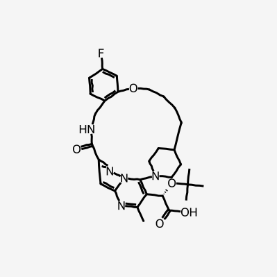 Cc1nc2cc3nn2c(c1[C@H](OC(C)(C)C)C(=O)O)N1CCC(CCCCOc2cc(F)ccc2CNC3=O)CC1